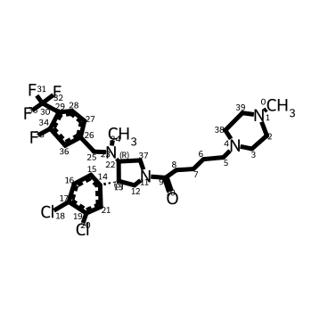 CN1CCN(CCCCC(=O)N2C[C@H](c3ccc(Cl)c(Cl)c3)[C@@H](N(C)Cc3ccc(C(F)(F)F)c(F)c3)C2)CC1